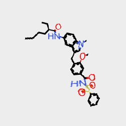 CCCCC(CC)C(=O)Nc1ccc2c(c1)c(Cc1ccc(C(=O)NS(=O)(=O)c3ccccc3)cc1OC)cn2C